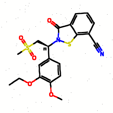 CCOc1cc([C@@H](CS(C)(=O)=O)n2sc3c(C#N)cccc3c2=O)ccc1OC